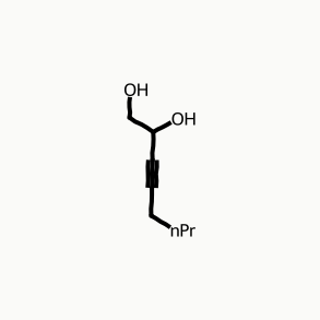 CCCCC#CC(O)CO